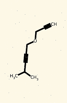 C#CCOCC#C[C](C)C